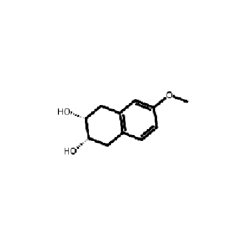 COc1ccc2c(c1)C[C@@H](O)[C@@H](O)C2